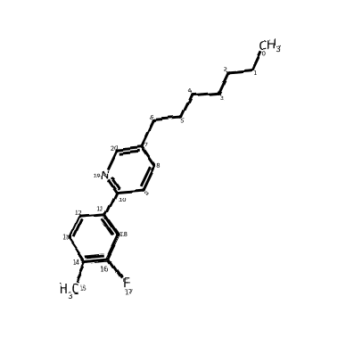 CCCCCCCc1ccc(-c2ccc(C)c(F)c2)nc1